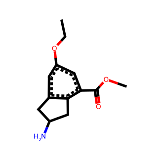 CCOc1cc2c(c(C(=O)OC)c1)CC(N)C2